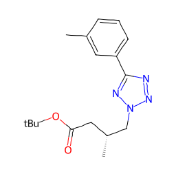 Cc1cccc(-c2nnn(C[C@H](C)CC(=O)OC(C)(C)C)n2)c1